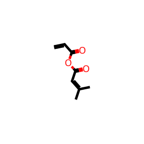 C=CC(=O)OC(=O)C=C(C)C